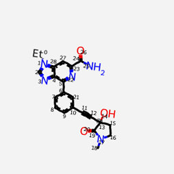 CCn1cnc2c(-c3cccc(C#C[C@]4(O)CCN(C)C4=O)c3)nc(C(N)=O)cc21